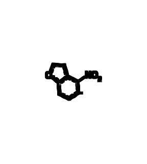 O=[N+]([O-])c1[c]ccc2occc12